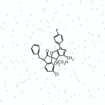 Cc1nn(-c2ccc(F)cc2)c2c1[C@@](C(=O)O)(C(F)(F)F)[C@@]1(O2)C(=O)N(Cc2ccccc2)c2ccc(Cl)cc21